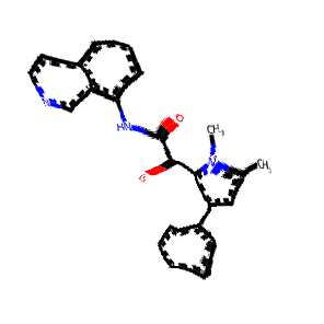 Cc1cc(-c2ccccc2)c(C(=O)C(=O)Nc2cccc3ccncc23)n1C